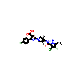 Cc1[nH]c(C(=O)NC2[C@H]3CN(c4nc(-c5ccc(Cl)cc5)c(C(=O)O)s4)C[C@@H]23)c(Cl)c1Cl